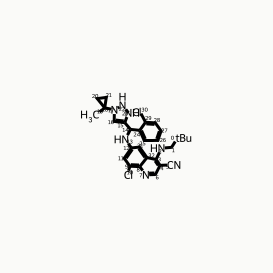 CC(C)(C)CNc1c(C#N)cnc2c(Cl)cc(NC(C3=CN(C4(C)CC4)NN3)c3ccccc3Cl)cc12